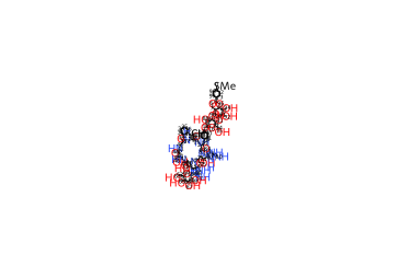 CSc1ccc(C2OCC3OC(OC4C(CO)OC(Oc5ccc(CC6NC(=O)C(C(C)c7ccccc7)NC(=O)CNC(=O)C(CO)NC(=O)C(C(O)C7CNC(=N)N7C7OC(CO)C(O)C(O)C7O)NC(=O)C(C(O)C7CNC(=N)N7)NC6=O)cc5)C(O)C4O)C(O)C(O)C3O2)cc1